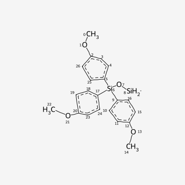 COc1ccc([Si](O[SiH2])(c2ccc(OC)cc2)c2ccc(OC)cc2)cc1